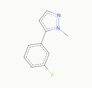 Cn1nccc1-c1cc[c]c(F)c1